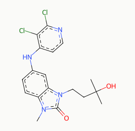 Cn1c(=O)n(CCC(C)(C)O)c2cc(Nc3ccnc(Cl)c3Cl)ccc21